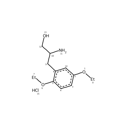 CCOc1ccc(OCC)c(CC(N)CO)c1.Cl